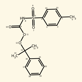 Cc1ccc(S(=O)(=O)NC(=O)OOC(C)(C)c2ccccc2)cc1